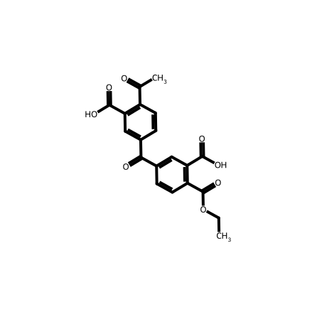 CCOC(=O)c1ccc(C(=O)c2ccc(C(C)=O)c(C(=O)O)c2)cc1C(=O)O